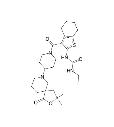 CCNC(=O)Nc1sc2c(c1C(=O)N1CCC(N3CCCC4(C3)CC(C)(C)OC4=O)CC1)CCCC2